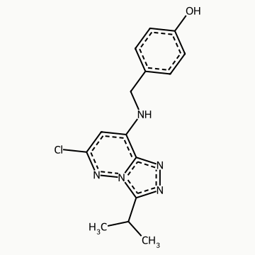 CC(C)c1nnc2c(NCc3ccc(O)cc3)cc(Cl)nn12